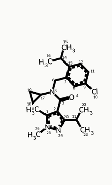 Cc1c(C(=O)N(Cc2cc(Cl)ccc2C(C)C)C2CC2)c(C(C)C)nn1C